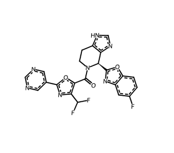 O=C(c1oc(-c2cncnc2)nc1C(F)F)N1CCc2[nH]cnc2[C@H]1c1nc2cc(F)ccc2o1